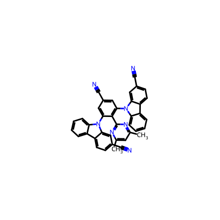 Cc1cc(C)nc(-c2c(-n3c4ccccc4c4ccc(C#N)cc43)cc(C#N)cc2-n2c3ccccc3c3ccc(C#N)cc32)n1